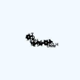 COc1cc(-c2cc3sc(-c4cnn(C)c4NC(=O)O[C@H](C)c4ccccc4)cc3s2)ccc1C1(C(=O)O)CC1